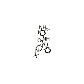 CCc1cc(NC(=O)C(=O)N2C[C@@H](C)N(CC(C)(C)C)C[C@@H]2c2ccccc2)cnc1N